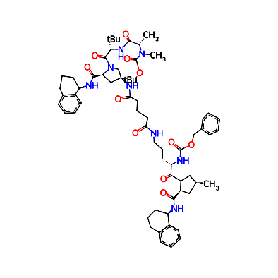 C[C@@H]1CC(C(=O)[C@H](CCCNC(=O)CCCC(=O)N[C@H]2C[C@@H](C(=O)N[C@@H]3CCCc4ccccc43)N(C(=O)[C@@H](NC(=O)[C@H](C)N(C)C(=O)OC(C)(C)C)C(C)(C)C)C2)NC(=O)OCc2ccccc2)[C@H](C(=O)N[C@@H]2CCCc3ccccc32)C1